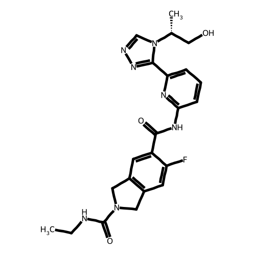 CCNC(=O)N1Cc2cc(F)c(C(=O)Nc3cccc(-c4nncn4[C@H](C)CO)n3)cc2C1